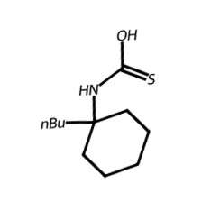 CCCCC1(NC(O)=S)CCCCC1